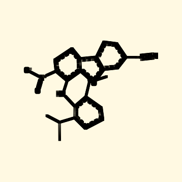 CC(C)c1cccc(C(C)C)c1Nc1c([N+](=O)[O-])ccc2c1oc1cc(C#N)ccc12